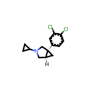 Clc1ccc([C@]23C[C@H]2CN(C2CC2)C3)cc1Cl